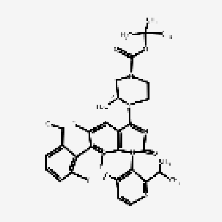 Cc1ccnc(C(C)C)c1-n1c(=O)nc(N2CCN(C(=O)OC(C)(C)C)C[C@@H]2C)c2cc(F)c(-c3c(F)cccc3CO)c(F)c21